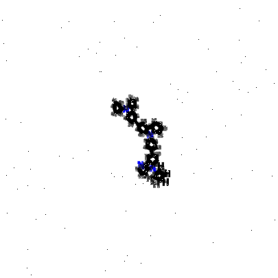 [2H]c1c([2H])c([2H])c(-n2c3ccc(-c4ccc(-n5c6ccccc6c6cc(-c7ccc8c(c7)c7ccccc7n8-c7ccccc7)ccc65)cc4)cc3c3ncccc32)c([2H])c1[2H]